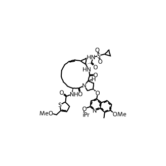 COCC1=CCC(C(=O)N[C@H]2CCCCC/C=C\C3C[C@@]3(C(=O)NS(=O)(=O)C3CC3)NC(=O)[C@@H]3C[C@@H](Oc4cc(OC(C)C)nc5c(C)c(OC)ccc45)CN3C2=O)S1